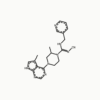 Cc1c[nH]c2ncnc(N3CCN(C(=NC#N)NCc4cccnc4)C(C)C3)c12